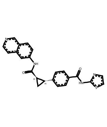 O=C(Nc1nccs1)c1ccc([C@@H]2C[C@H]2C(=O)Nc2ccc3cnccc3c2)cc1